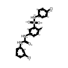 CCc1cccc(NC(=O)Nc2ccc(C)c(S(=O)(=O)Nc3ccc(Cl)cc3)c2)c1